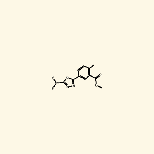 COC(=O)c1cc(-c2nnc(C(F)F)o2)ccc1C